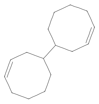 C1=C\CC(C2C/C=C\CCCC2)CCCC/1